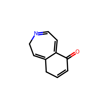 O=C1C=CCC2=CCN=CC=C12